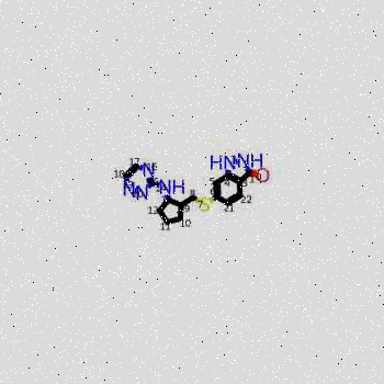 O=c1[nH][nH]c2cc(SCC3CCCC3Nc3nccnn3)ccc12